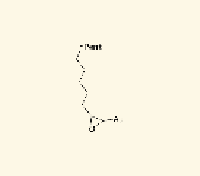 CCCCCCCCCCC1O[CH]1[Au]